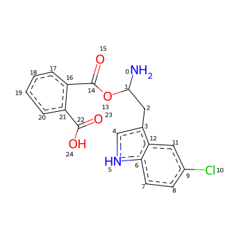 NC(Cc1c[nH]c2ccc(Cl)cc12)OC(=O)c1ccccc1C(=O)O